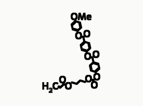 C=CC(=O)OCCCCOC(=O)Oc1ccc(C(=O)Oc2ccc(C(=O)Oc3ccc(OC)cc3)cc2)cc1